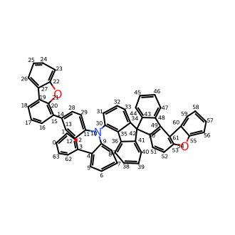 c1ccc(-c2ccccc2N(c2ccc(-c3cccc4c3oc3ccccc34)cc2)c2cccc3c2-c2ccccc2C32c3ccccc3-c3c2ccc2oc4ccccc4c32)cc1